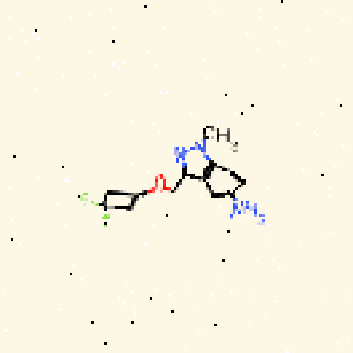 Cn1nc(COC2CC(F)(F)C2)c2cc(N)ccc21